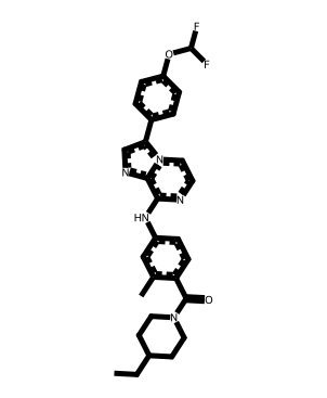 CCC1CCN(C(=O)c2ccc(Nc3nccn4c(-c5ccc(OC(F)F)cc5)cnc34)cc2C)CC1